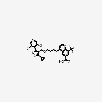 O=C(O)c1cc(C(F)(F)F)c2nccc(CCCCOCc3c(-c4c(Cl)cncc4Cl)noc3C3CC3)c2c1